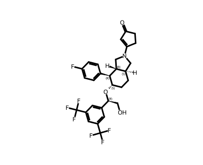 O=C1C=C(N2C[C@H]3CC[C@H](O[C@@H](CO)c4cc(C(F)(F)F)cc(C(F)(F)F)c4)[C@@H](c4ccc(F)cc4)[C@@H]3C2)CC1